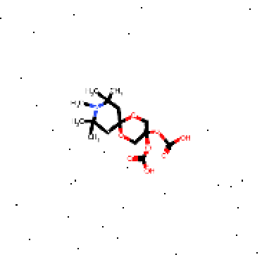 CN1C(C)(C)CC2(CC1(C)C)OCC(OC(=O)O)(OC(=O)O)CO2